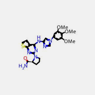 COc1cc(-n2cnc(Nc3nc(N4CCC[C@H]4C(N)=O)nc4sccc34)c2)cc(OC)c1OC